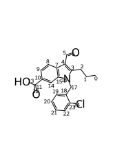 CCCc1c(C=O)c2ccc(C(=O)O)cc2n1Cc1ccccc1Cl